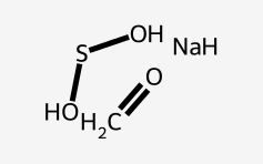 C=O.OSO.[NaH]